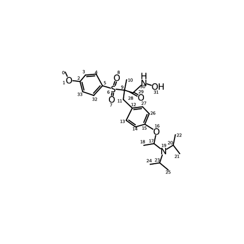 COc1ccc(S(=O)(=O)C(C)(Cc2ccc(OC(C)N(C(C)C)C(C)C)cc2)C(=O)NO)cc1